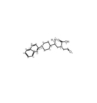 NC(CN(CC=O)C(=O)O)C1CCN(c2cnc3ccccc3n2)CC1